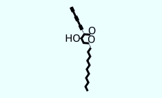 C#CC#CC#C[C@@H]1C(=O)O[C@H](CCCCCCCCCCC)C[C@@H]1O